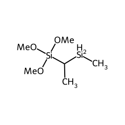 CO[Si](OC)(OC)C(C)[SiH2]C